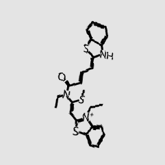 CCN(C(=O)C=CC=C1Nc2ccccc2S1)/C(=C/c1sc2ccccc2[n+]1CC)SC